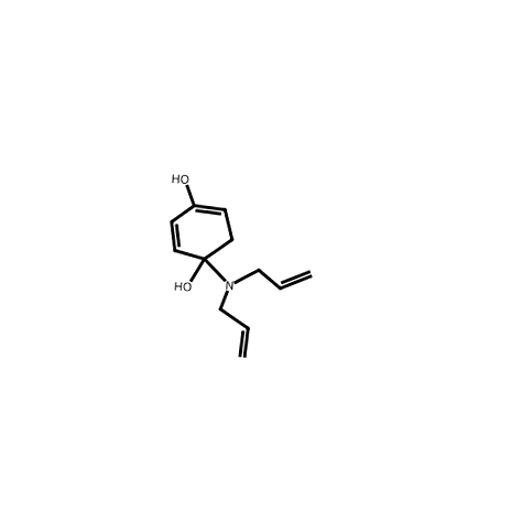 C=CCN(CC=C)C1(O)C=CC(O)=CC1